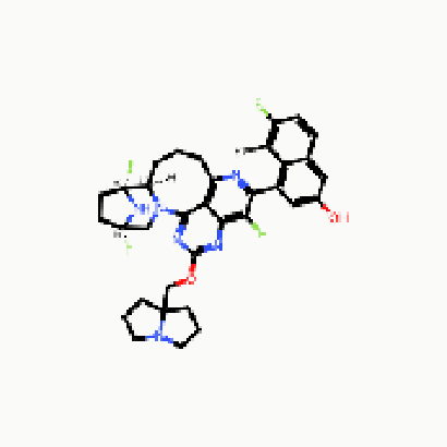 CCc1c(F)ccc2cc(O)cc(-c3nc4c5c(nc(OCC67CCCN6CCC7)nc5c3F)N3C[C@@]5(F)CC[C@](F)(N5)[C@H]3CCC4)c12